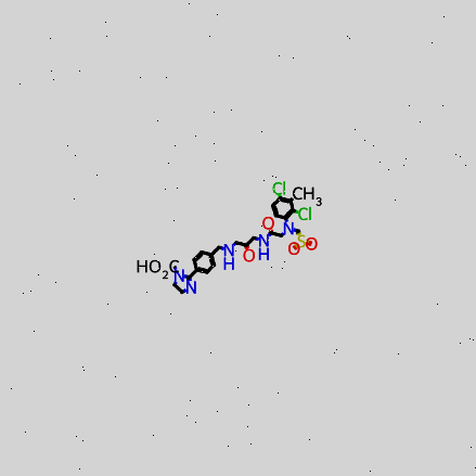 Cc1c(Cl)ccc(N(C=S(=O)=O)CC(=O)NCC(=O)CNCc2ccc(C3=NCCN3C(=O)O)cc2)c1Cl